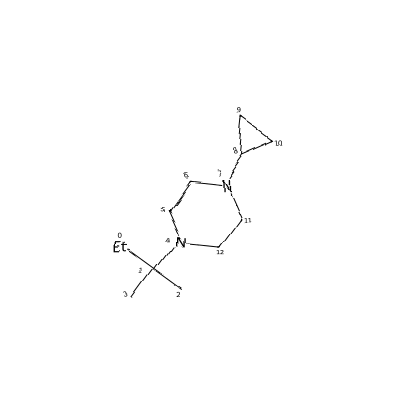 CCC(C)(C)N1CCN(C2CC2)CC1